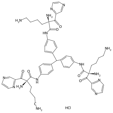 Cl.NCCCC[C@@](N)(C(=O)Nc1ccc(C(c2ccc(NC(=O)[C@](N)(CCCCN)C(=O)c3cnccn3)cc2)c2ccc(NC(=O)[C@](N)(CCCCN)C(=O)c3cnccn3)cc2)cc1)C(=O)c1cnccn1